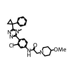 COC1CCN(CC(=O)Nc2ccc(-c3nnc(C4(c5ccccc5)CC4)n3C)c(Cl)c2)CC1